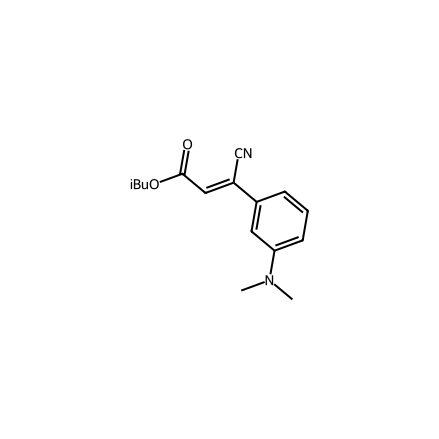 CC(C)COC(=O)C=C(C#N)c1cccc(N(C)C)c1